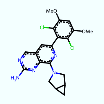 COc1cc(OC)c(Cl)c(-c2cc3cnc(N)nc3c(N3CC4CC4C3)n2)c1Cl